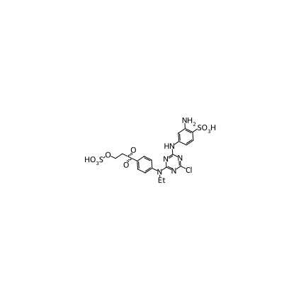 CCN(c1ccc(S(=O)(=O)CCOS(=O)(=O)O)cc1)c1nc(Cl)nc(Nc2ccc(S(=O)(=O)O)c(N)c2)n1